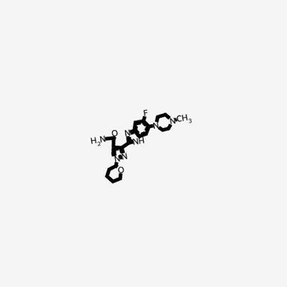 CN1CCN(c2cc3[nH]c(-c4nn(C5CCCCO5)cc4C(N)=O)nc3cc2F)CC1